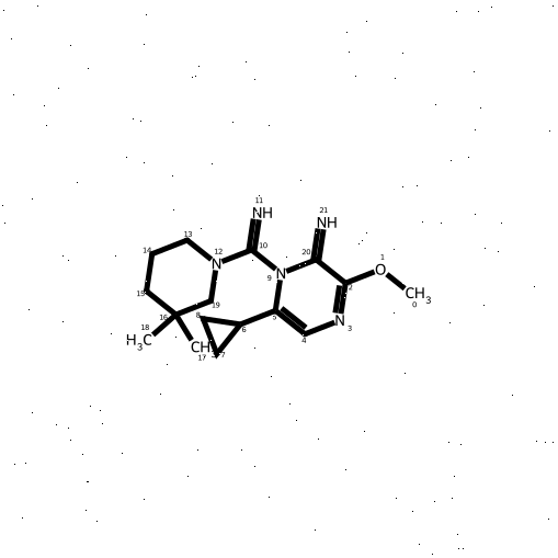 COc1ncc(C2CC2)n(C(=N)N2CCCC(C)(C)C2)c1=N